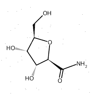 NC(=O)[C@@H]1O[C@H](CO)[C@@H](O)[C@H]1O